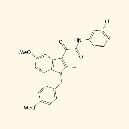 COc1ccc(Cn2c(C)c(C(=O)C(=O)Nc3ccnc(Cl)c3)c3cc(OC)ccc32)cc1